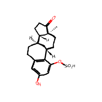 C[C@]12CC[C@@H]3c4c(cc(O)cc4OS(=O)(=O)O)CC[C@H]3[C@@H]1CCC2=O